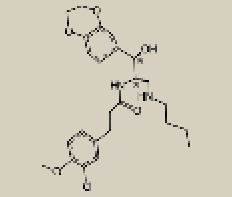 CCCCNC[C@@H](NC(=O)CCc1ccc(OC)c(Cl)c1)[C@H](O)c1ccc2c(c1)OCCO2